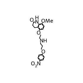 COc1ccc(OCCNCCCOc2ccc([N+](=O)[O-])cc2)c2c1NC(=O)CC2